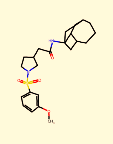 COc1cccc(S(=O)(=O)N2CCC(CC(=O)NC34CC5CCCC(C3)C4C5)C2)c1